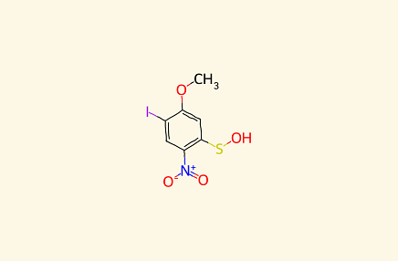 COc1cc(SO)c([N+](=O)[O-])cc1I